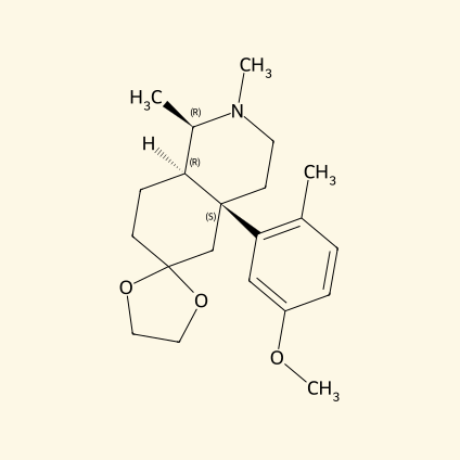 COc1ccc(C)c([C@]23CCN(C)[C@H](C)[C@@H]2CCC2(C3)OCCO2)c1